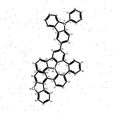 c1ccc(-n2c3ccccc3c3cc(-c4cc5c6c(c4)c4ccccc4n6-c4c(cccc4-c4cccc6oc7ccccc7c46)-c4ccccc4-5)ccc32)cc1